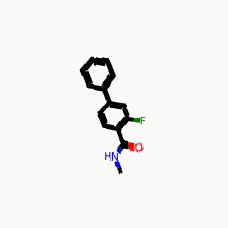 CNC(=O)c1ccc(-c2ccccc2)cc1F